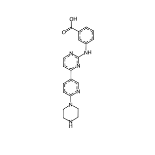 O=C(O)c1cccc(Nc2nccc(-c3ccc(N4CCNCC4)nc3)n2)c1